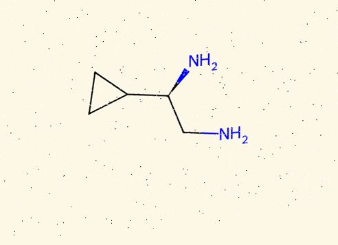 NC[C@H](N)C1CC1